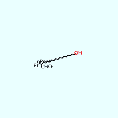 CCCCCC(CC)C([C]=O)CCCCCCCCCCCCCCCCO